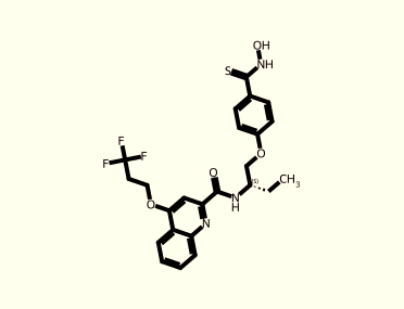 CC[C@@H](COc1ccc(C(=S)NO)cc1)NC(=O)c1cc(OCCC(F)(F)F)c2ccccc2n1